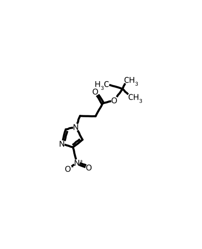 CC(C)(C)OC(=O)CCn1cnc([N+](=O)[O-])c1